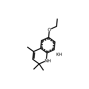 CCOc1ccc2c(c1)C(C)=CC(C)(C)N2.[KH]